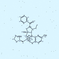 CCC1C2[C@@H](CN1C(=O)c1ccccc1)CC1(C)C3Cc4ccc(O)cc4C21CCN3C[C@H]1CCCN1